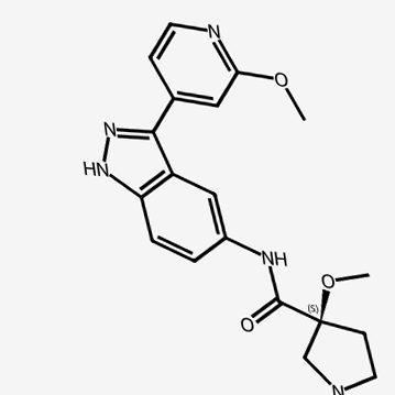 COc1cc(-c2n[nH]c3ccc(NC(=O)[C@]4(OC)CCNC4)cc23)ccn1